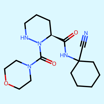 N#CC1(NC(=O)[C@@H]2CCCNN2C(=O)N2CCOCC2)CCCCC1